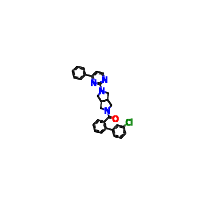 O=C(c1ccccc1-c1cccc(Cl)c1)N1CC2CN(c3nccc(-c4ccccc4)n3)CC2C1